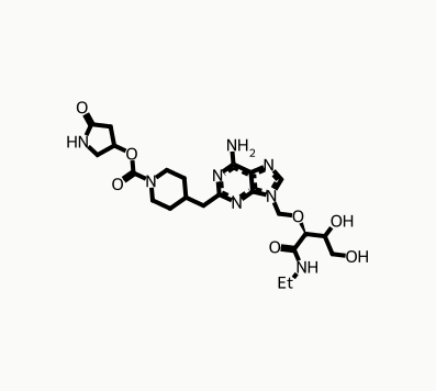 CCNC(=O)[C@@H](OCn1cnc2c(N)nc(CC3CCN(C(=O)OC4CNC(=O)C4)CC3)nc21)C(O)CO